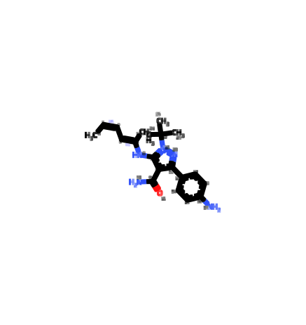 C/C=C\C=C(/C)Nc1c(C(N)=O)c(-c2ccc(N)cc2)nn1C(C)(C)C